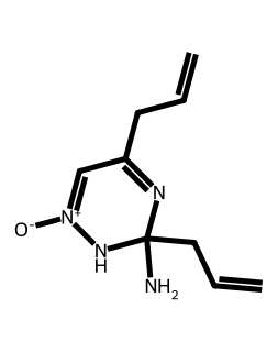 C=CCC1=NC(N)(CC=C)N[N+]([O-])=C1